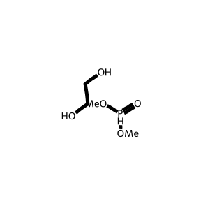 CO[PH](=O)OC.OCCO